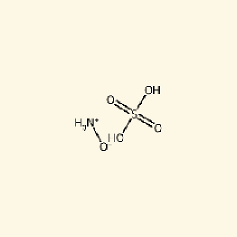 O=S(=O)(O)O.[NH3+][O-]